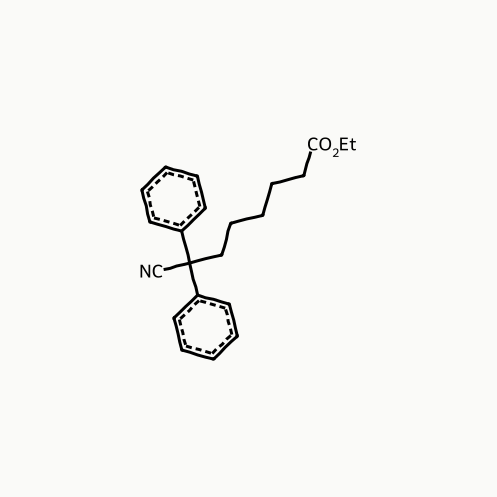 CCOC(=O)CCCCCC(C#N)(c1ccccc1)c1ccccc1